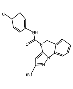 CC(C)(C)c1cc2n(n1)-c1ccccc1CN2C(=O)NC1=CCC(Cl)C=C1